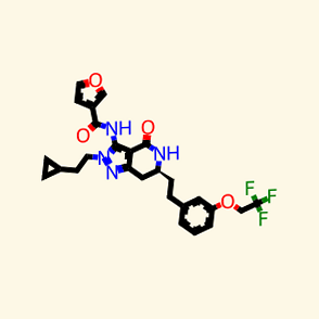 O=C(Nc1c2c(nn1CCC1CC1)C[C@H](CCc1cccc(OCC(F)(F)F)c1)NC2=O)c1ccoc1